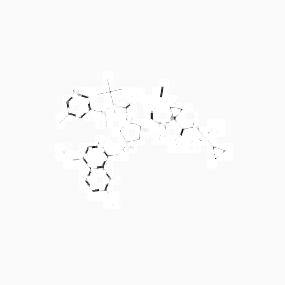 C=C[C@@H]1C[C@]1(NC(=O)[C@@H]1C[C@@H](Oc2ncc(OC)c3ccc(Cl)cc23)CN1C(=O)[C@@H](Nc1cncc(C)c1)C(C)(C)C)C(=O)NS(=O)(=O)C1CC1